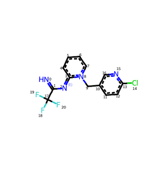 N=C(/N=c1\ccccn1Cc1ccc(Cl)nc1)C(F)(F)F